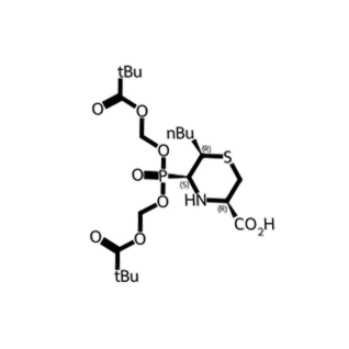 CCCC[C@H]1SC[C@@H](C(=O)O)N[C@H]1P(=O)(OCOC(=O)C(C)(C)C)OCOC(=O)C(C)(C)C